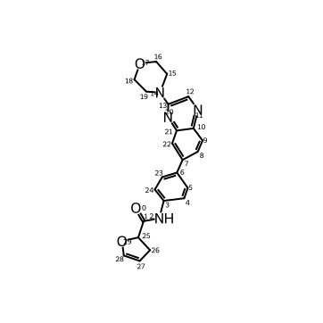 O=C(Nc1ccc(-c2ccc3ncc(N4CCOCC4)nc3c2)cc1)C1CC=CO1